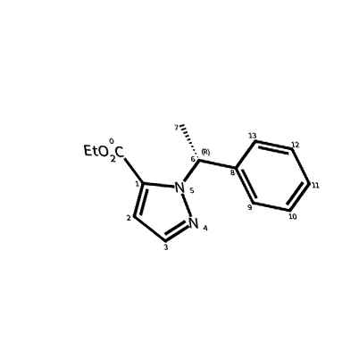 CCOC(=O)c1ccnn1[C@H](C)c1ccccc1